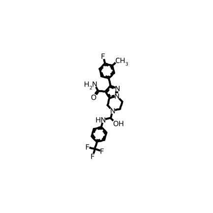 Cc1cc(-c2nn3c(c2C(N)=O)CN(C(O)Nc2ccc(C(F)(F)F)cc2)CC3)ccc1F